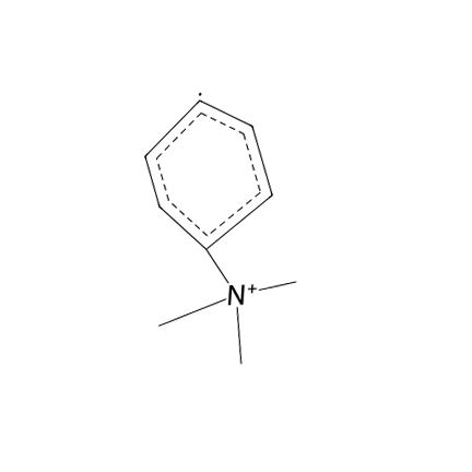 C[N+](C)(C)c1cc[c]cc1